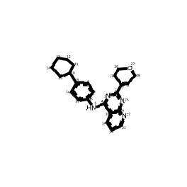 C1=C(c2nc(Nc3ccc(C4CCCCC4)cc3)c3cccnc3n2)CCOC1